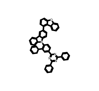 C1=CCC(c2cc(-c3nc(-c4ccccc4)nc(-c4ccccc4)n3)ccc2-n2c3ccccc3c3cc(-c4cccc5oc6ccccc6c45)ccc32)C=C1